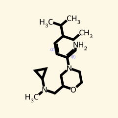 CCC(/C=C\C(=C/N)N1CCOC(CN(C)C2CC2)C1)C(C)C